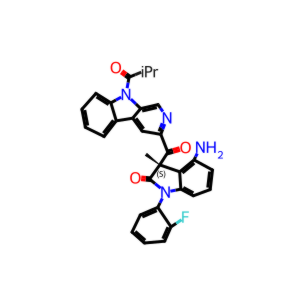 CC(C)C(=O)n1c2ccccc2c2cc(C(=O)[C@@]3(C)C(=O)N(c4ccccc4F)c4cccc(N)c43)ncc21